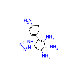 Nc1ccc(-c2ccc(N)c(N)c2N)cc1.c1nnn[nH]1